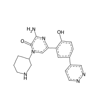 Nc1nc(-c2cc(-c3ccnnc3)ccc2O)cn(C2CCCNC2)c1=O